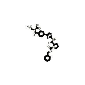 CCN(C(=O)O)C(=O)c1ccc(-c2csc(NC(=O)C3CCCN3C(=O)OCc3ccccc3)n2)cc1